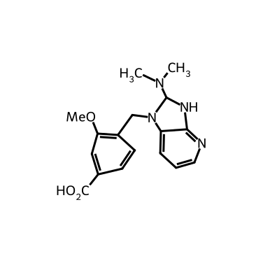 COc1cc(C(=O)O)ccc1CN1c2cccnc2NC1N(C)C